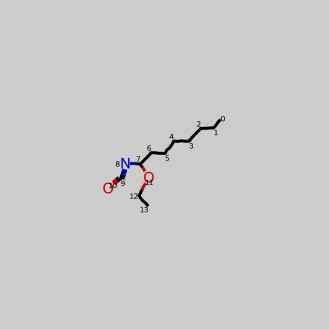 CCCCCCCC(N=C=O)OCC